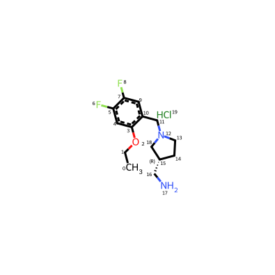 CCOc1cc(F)c(F)cc1CN1CC[C@H](CN)C1.Cl